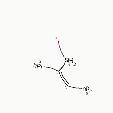 CCCC=C(CCC)[SiH2]I